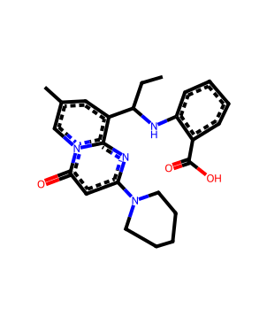 CCC(Nc1ccccc1C(=O)O)c1cc(C)cn2c(=O)cc(N3CCCCC3)nc12